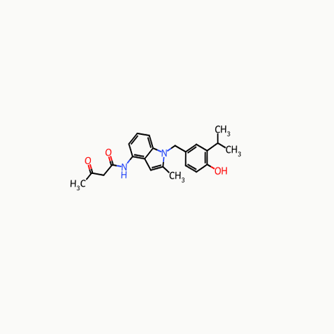 CC(=O)CC(=O)Nc1cccc2c1cc(C)n2Cc1ccc(O)c(C(C)C)c1